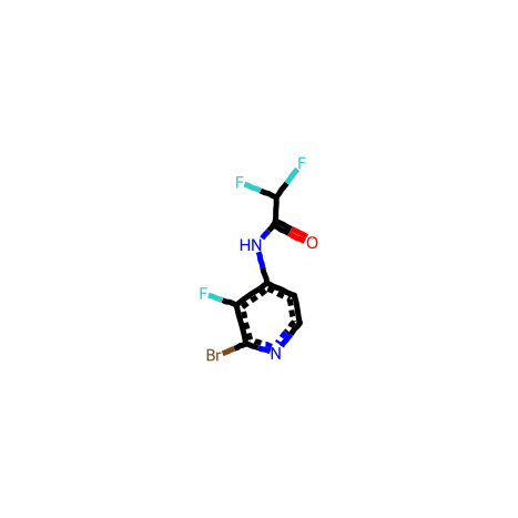 O=C(Nc1ccnc(Br)c1F)C(F)F